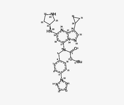 CC(C)(C)OC(=O)N(Cc1ccc(-n2cccn2)cc1)c1cc(N[C@H]2CCNC2)nc2c(C3CC3)cnn12